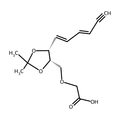 C#CC=CC=C[C@H]1OC(C)(C)O[C@H]1COCC(=O)O